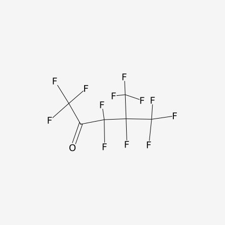 O=C(C(F)(F)F)C(F)(F)C(F)(C(F)(F)F)C(F)(F)F